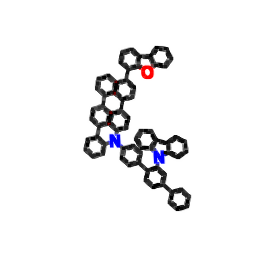 c1ccc(-c2ccc(-c3ccccc3N(c3ccc(-c4ccc(-c5cccc6c5oc5ccccc56)cc4)cc3)c3ccc(-c4ccc(-c5ccccc5)cc4-n4c5ccccc5c5ccccc54)cc3)cc2)cc1